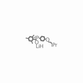 Cc1cc(C)c(C(=O)Pc2ccc(OCCC(C)C)cc2)c(C)c1.[LiH]